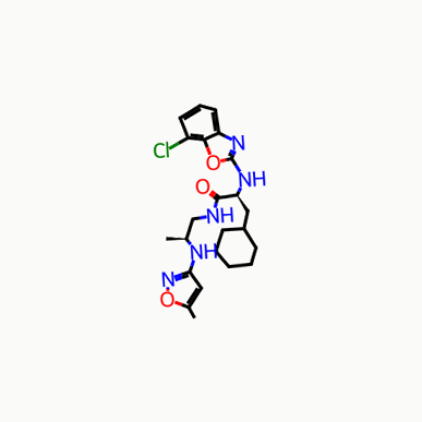 Cc1cc(N[C@@H](C)CNC(=O)[C@H](CC2CCCCC2)Nc2nc3cccc(Cl)c3o2)no1